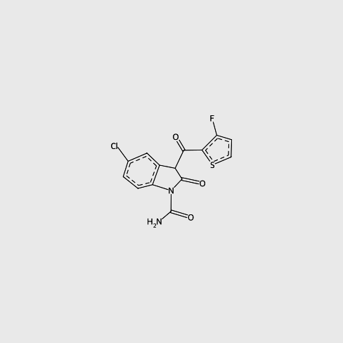 NC(=O)N1C(=O)C(C(=O)c2sccc2F)c2cc(Cl)ccc21